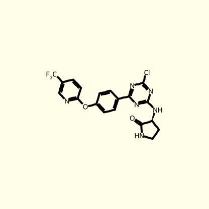 O=C1NCC[C@@H]1Nc1nc(Cl)nc(-c2ccc(Oc3ccc(C(F)(F)F)cn3)cc2)n1